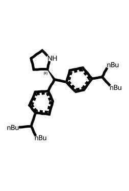 CCCCC(CCCC)c1ccc(C(c2ccc(C(CCCC)CCCC)cc2)[C@H]2CCCN2)cc1